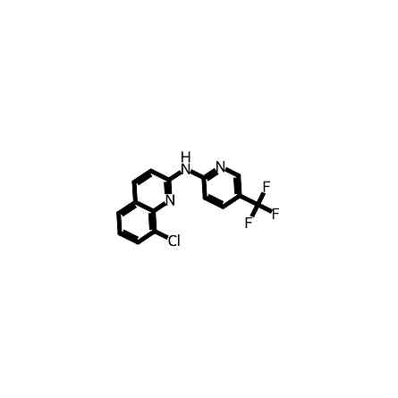 FC(F)(F)c1ccc(Nc2ccc3cccc(Cl)c3n2)nc1